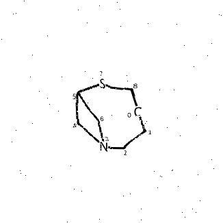 C1CCN2CC(C2)SC1